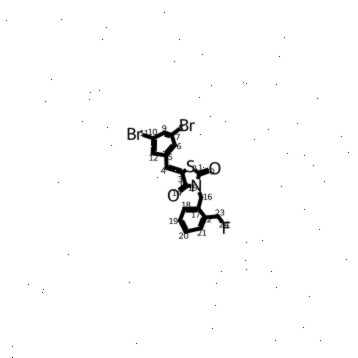 O=C1S/C(=C\c2cc(Br)cc(Br)c2)C(=O)N1Cc1ccccc1CF